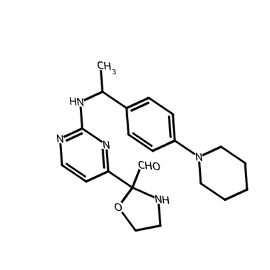 CC(Nc1nccc(C2(C=O)NCCO2)n1)c1ccc(N2CCCCC2)cc1